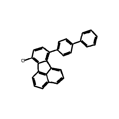 Clc1ccc(-c2ccc(-c3ccccc3)cc2)c2c1-c1cccc3cccc-2c13